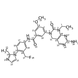 CCN1C(=O)N(c2cc(OC)cc(C(=O)Nc3ccc(-n4ccnc4C)c(CF)c3)c2)Cc2cnc(N)nc21